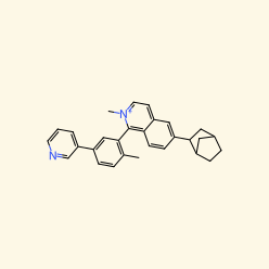 Cc1ccc(-c2cccnc2)cc1-c1c2ccc(C3CC4CCC3C4)cc2cc[n+]1C